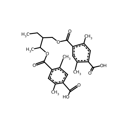 CCC(COC(=O)c1cc(C)c(C(=O)O)cc1C)C(C)OC(=O)c1cc(C)c(C(=O)O)cc1C